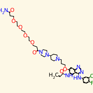 C=CC(=O)Nc1cc2c(Nc3ccc(F)c(Cl)c3)ncnc2cc1OCCCN1CCC(N2CCN(C(=O)CCOCCOCCOCCOCCC(N)=O)CC2)CC1